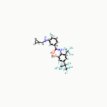 O=C(Nc1c(Br)cc(C(F)(C(F)(F)F)C(F)(F)F)cc1C(F)(F)F)c1ccc(F)c(NCC2CC2)c1